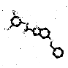 Cc1cc(C)nc(NC(=O)c2cc3cc(OCc4ccccc4)ccc3o2)c1